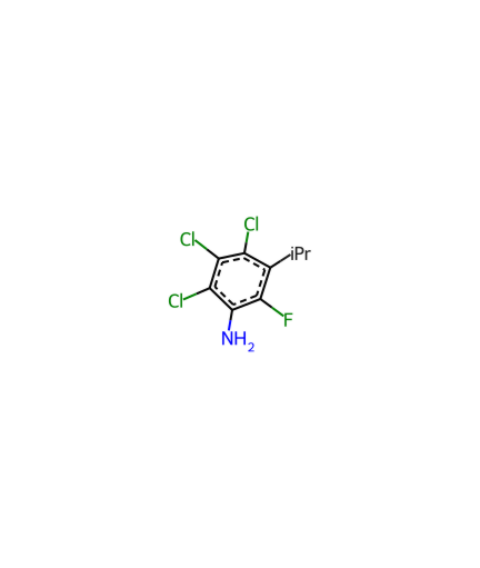 CC(C)c1c(F)c(N)c(Cl)c(Cl)c1Cl